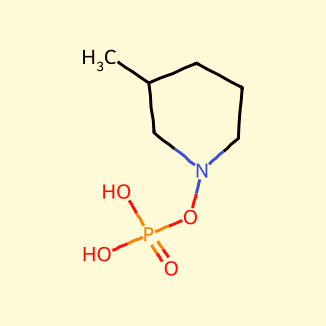 CC1CCCN(OP(=O)(O)O)C1